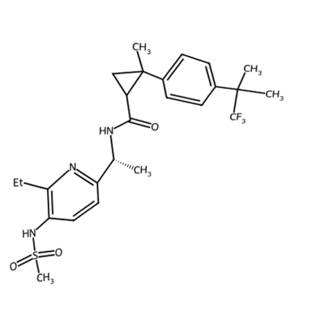 CCc1nc([C@@H](C)NC(=O)C2CC2(C)c2ccc(C(C)(C)C(F)(F)F)cc2)ccc1NS(C)(=O)=O